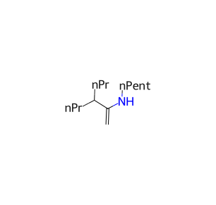 C=C(NCCCCC)C(CCC)CCC